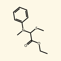 CCOC(=O)C(SC)N(C)c1ccccc1